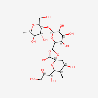 C[C@@H]1OC(CO)[C@@H](O[C@@H]2OC(CO[C@]3(C(=O)O)C[C@@H](O)[C@@H](C)C([C@H](O)[C@H](O)CO)O3)[C@H](O)[C@H](O)C2O)[C@H](O)C1O